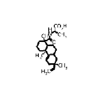 C=C[C@]1(C)CC=C2C(CCC3[C@@](C)(C(=O)N[C@@H](C)C(=O)O)CCC[C@]23C)C1